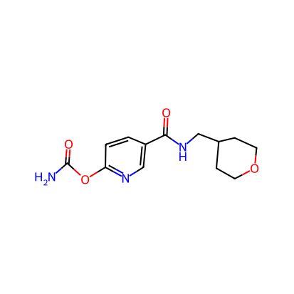 NC(=O)Oc1ccc(C(=O)NCC2CCOCC2)cn1